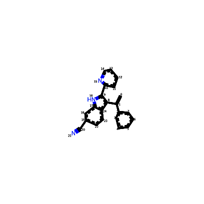 C=C(c1ccccc1)c1c(-c2ccccn2)[nH]c2cc(C#N)ccc12